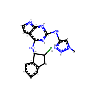 Cn1cc(Nc2nc(N[C@@H]3c4ccccc4CC3F)c3cc[nH]c3n2)nn1